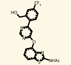 CC(=O)Nc1nc2c(Oc3cc(-c4ccc(C(F)(F)F)cc4CO)ncn3)cccc2s1